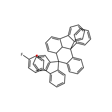 Fc1ccc(-c2ccccc2C2(c3ccccc3)c3ccccc3C3(c4ccccc4)c4ccccc4C4=CC=CC2C43)cc1